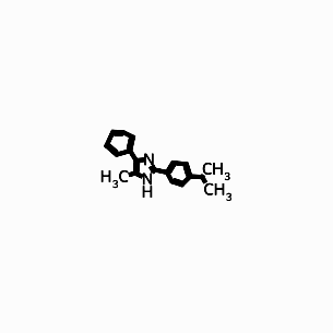 Cc1[nH]c(-c2ccc(C(C)C)cc2)nc1-c1ccccc1